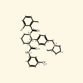 Cc1cccc(F)c1C(=O)N1CCC[C@H](C(=O)Nc2cccc(C(F)(F)F)c2)[C@@H]1c1ccc(CN2CCCC2C)cc1